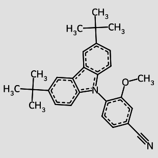 COc1cc(C#N)ccc1-n1c2ccc(C(C)(C)C)cc2c2cc(C(C)(C)C)ccc21